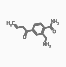 C=CCC(=O)c1ccc(C(N)=O)c(CN)c1